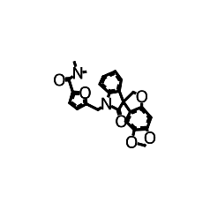 CN(C)C(=O)c1ccc(CN2C(=O)C3(COc4cc5c(cc43)OCO5)c3ccccc32)o1